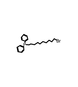 BrCCCCCCCCCCP(c1ccccc1)c1ccccc1